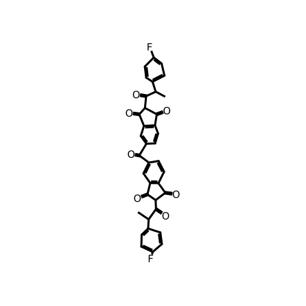 CC(C(=O)C1C(=O)c2ccc(C(=O)c3ccc4c(c3)C(=O)C(C(=O)C(C)c3ccc(F)cc3)C4=O)cc2C1=O)c1ccc(F)cc1